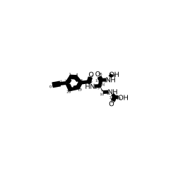 C#Cc1ccc(C(=O)N[C@@H](CNC(=O)O)C(=O)NO)cc1